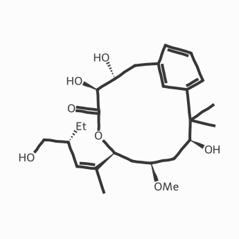 CC[C@H](/C=C(/C)[C@@H]1C[C@H](OC)C[C@H](O)C(C)(C)c2cccc(c2)C[C@@H](O)[C@H](O)C(=O)O1)CO